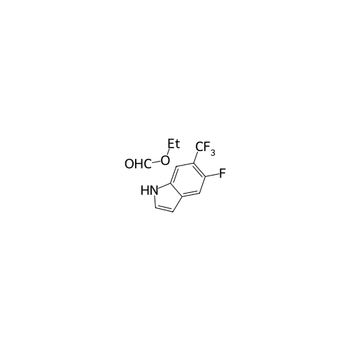 CCOC=O.Fc1cc2cc[nH]c2cc1C(F)(F)F